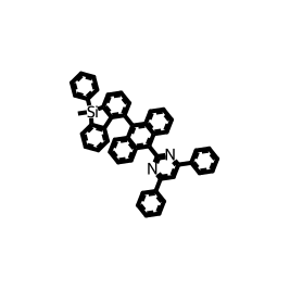 C[Si]1(c2ccccc2)c2ccccc2-c2c(-c3c4ccccc4c(-c4nc(-c5ccccc5)cc(-c5ccccc5)n4)c4ccccc34)cccc21